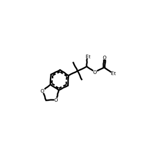 CCC(=O)OC(CC)C(C)(C)c1ccc2c(c1)OCO2